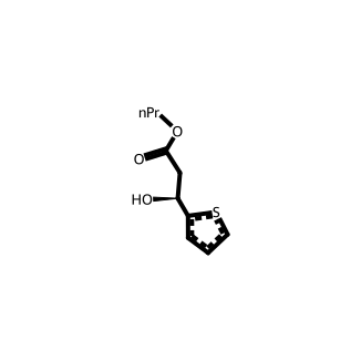 CCCOC(=O)C[C@H](O)c1cccs1